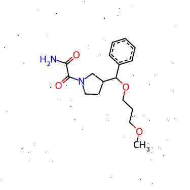 COCCCOC(c1ccccc1)C1CCN(C(=O)C(N)=O)C1